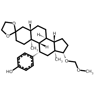 COCO[C@H]1CC[C@H]2[C@@H]3CC[C@H]4CC5(CC[C@]4(C)[C@H]3[C@@H](c3ccc(O)cc3)C[C@]12C)OCCO5